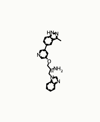 Cc1n[nH]c2ccc(-c3cncc(OC[C@@H](N)Cn4cnc5ccccc54)c3)cc12